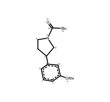 COc1cccc(C2CCN(C(=O)C(C)(C)C)C2)c1